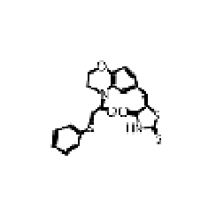 O=C1NC(=S)SC1=Cc1ccc2c(c1)N(C(=O)CSc1ccccc1)CCO2